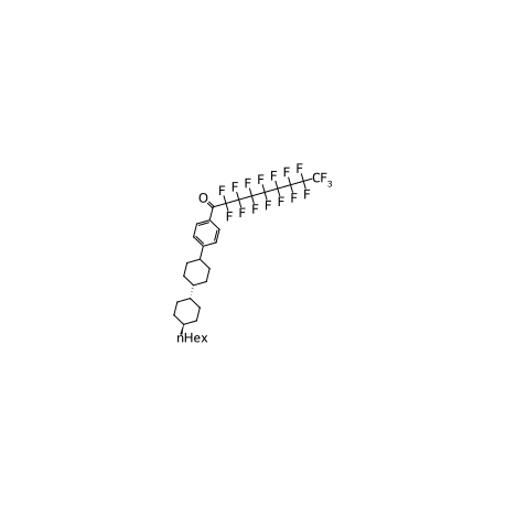 CCCCCC[C@H]1CC[C@H](C2CCC(c3ccc(C(=O)C(F)(F)C(F)(F)C(F)(F)C(F)(F)C(F)(F)C(F)(F)C(F)(F)C(F)(F)F)cc3)CC2)CC1